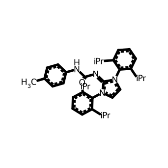 Cc1ccc(NC(=O)N=c2n(-c3c(C(C)C)cccc3C(C)C)ccn2-c2c(C(C)C)cccc2C(C)C)cc1